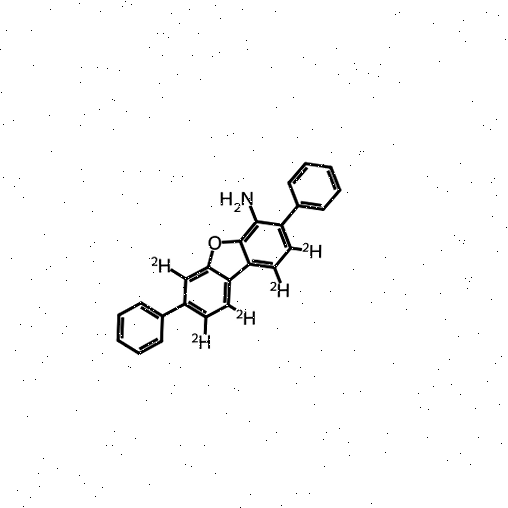 [2H]c1c(-c2ccccc2)c([2H])c2oc3c(N)c(-c4ccccc4)c([2H])c([2H])c3c2c1[2H]